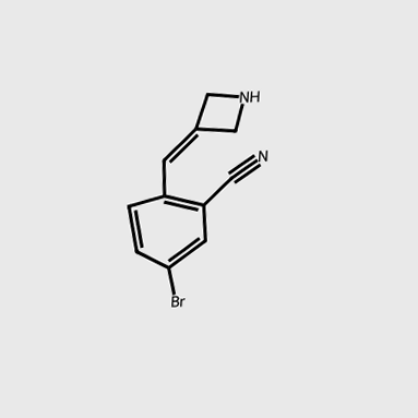 N#Cc1cc(Br)ccc1C=C1CNC1